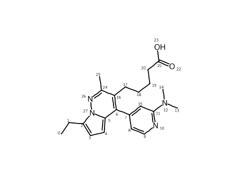 CCc1ccc2c(-c3ccnc(N(C)C)c3)c(CCCCC(=O)O)c(C)nn12